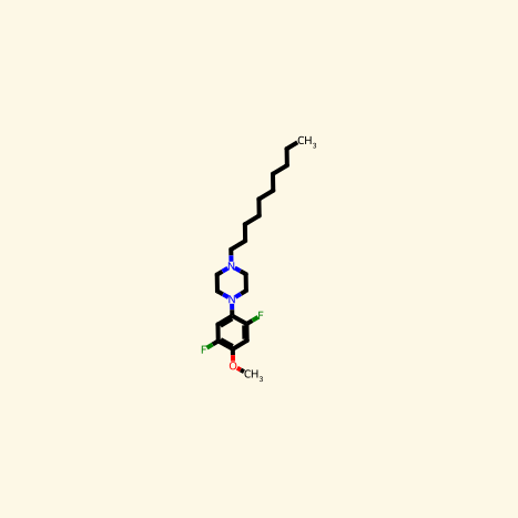 CCCCCCCCCCN1CCN(c2cc(F)c(OC)cc2F)CC1